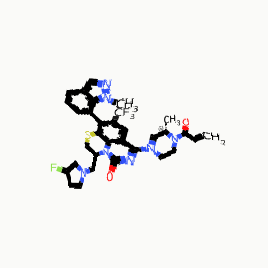 C=CC(=O)N1CCN(c2nc(=O)n3c4c(c(-c5cccc6cnn(C)c56)c(C(F)(F)F)cc24)SCC3CN2CCC(F)C2)C[C@@H]1C